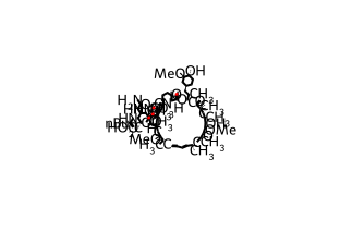 CCCCC(=O)NC1C(NC(N)=O)[C@H](NS(=O)(=O)O)[C@@](C)(O[C@@]23O[C@@H](CC[C@H]2C)C[C@H](OC)C(C)C/C=C/C=C/[C@@H](C)C[C@@H](C)C(=O)[C@H](OC)[C@H](O)C(C)C[C@@H](C)C(=O)CC([C@H](C)C[C@@H]2CC[C@@H](O)[C@H](OC)C2)OC(=O)[C@@H]2CCCCN2C(=O)C3=O)O[C@@H]1C(=O)O